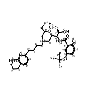 COC(CF)CN(CCCCc1ccc2c(n1)NCCC2)CCC(NC(=O)c1cc(OC(F)(F)F)ccc1Cl)C(=O)O